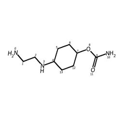 NCCNC1CCC(OC(N)=O)CC1